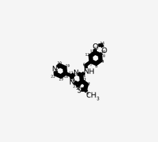 Cc1cc2c(NCc3ccc4c(c3)OCO4)nc(-c3ccncc3)nc2s1